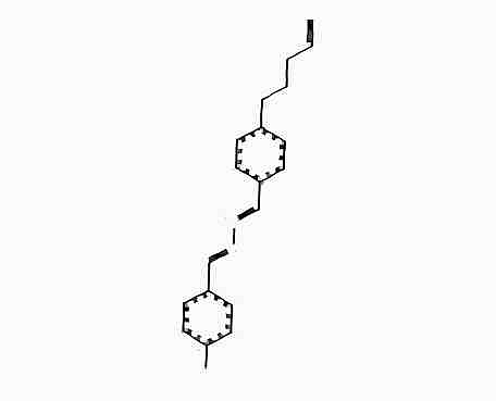 C=CCCCc1ccc(C=NN=Cc2ccc(CC)cc2)cc1